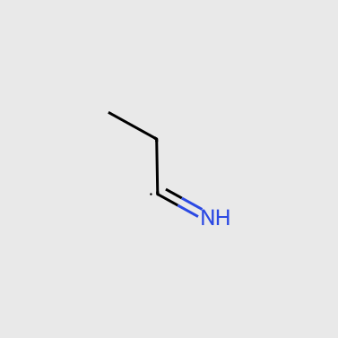 CC[C]=N